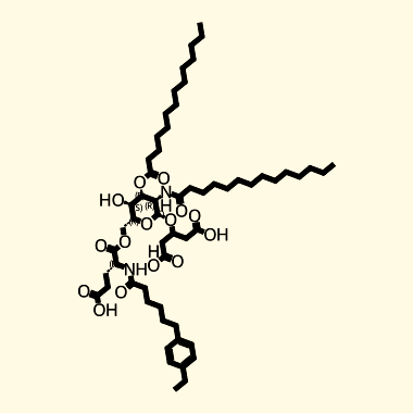 CCCCCCCCCCCCCC(=O)N[C@H]1[C@@H](OC(CC(=O)O)CC(=O)O)O[C@H](COC(=O)[C@@H](CCC(=O)O)NC(=O)CCCCCc2ccc(CC)cc2)[C@@H](O)[C@@H]1OC(=O)CCCCCCCCCCCCC